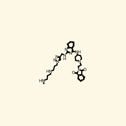 CNCCCNCCCn1cc(CNc2nc(NC3CCN(CCN4C(=O)c5ccccc5C4=O)CC3)c3ccccc3n2)nn1